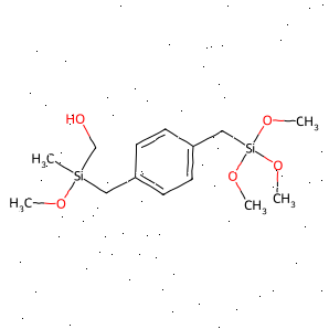 CO[Si](C)(CO)Cc1ccc(C[Si](OC)(OC)OC)cc1